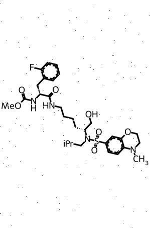 COC(=O)N[C@@H](Cc1ccccc1F)C(=O)NCCCC[C@H](CO)N(CC(C)C)S(=O)(=O)c1ccc2c(c1)OCCN2C